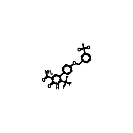 CS(=O)(=O)c1cccc(COc2ccc(-c3cc(C(N)=O)c(=O)[nH]c3C(F)(F)F)cc2)c1